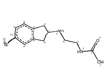 O=C(O)NCCNC1Cc2ccc(Br)cc2C1